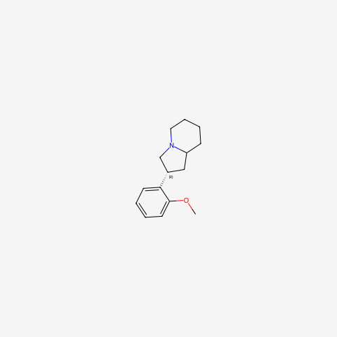 COc1ccccc1[C@H]1CC2CCCCN2C1